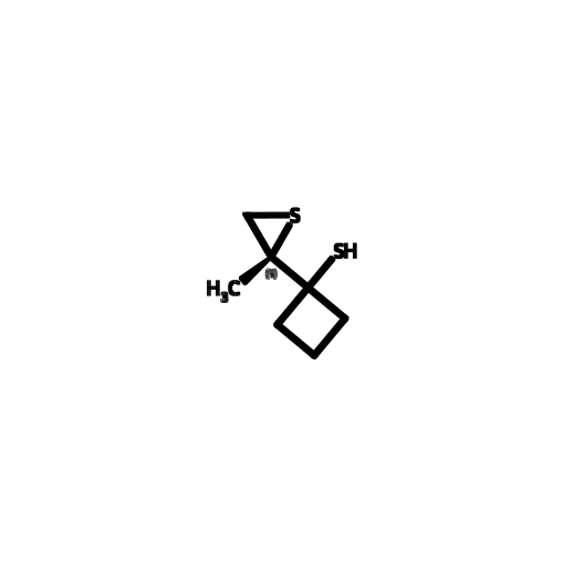 C[C@@]1(C2(S)CCC2)CS1